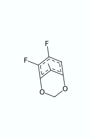 Cc1c2cc(F)c(F)c1OCO2